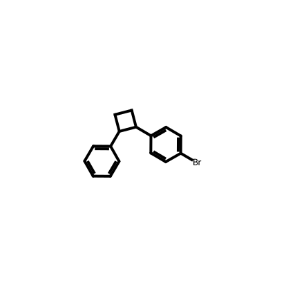 Brc1ccc(C2CCC2c2ccccc2)cc1